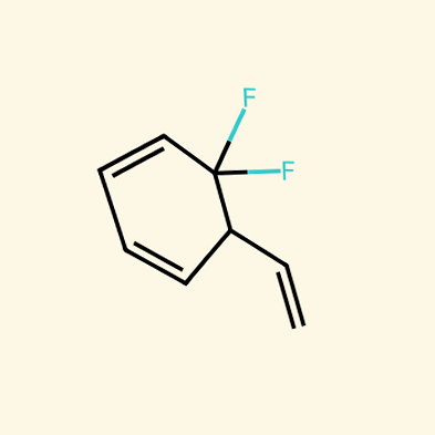 C=CC1C=CC=CC1(F)F